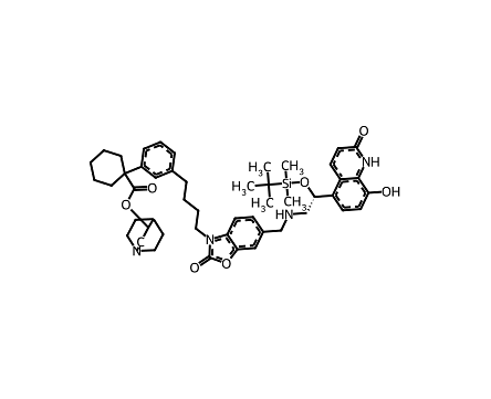 CC(C)(C)[Si](C)(C)O[C@@H](CNCc1ccc2c(c1)oc(=O)n2CCCCc1cccc(C2(C(=O)OC3CN4CCC3CC4)CCCCC2)c1)c1ccc(O)c2[nH]c(=O)ccc12